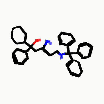 NC(CCNC(c1ccccc1)(c1ccccc1)c1ccccc1)CC(O)(c1ccccc1)C1CCCCC1